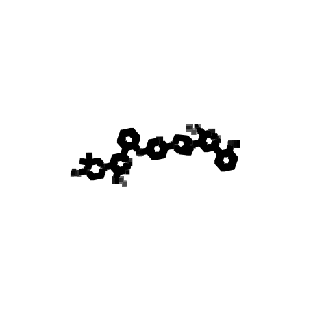 CC(=O)N1CCN(c2cc(-c3ccccc3Oc3ccc(N4CC5CC4CN5c4cc(-c5ccccc5O)nnc4N)nc3)nnc2N)CC1(C)C